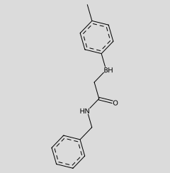 Cc1ccc(BCC(=O)NCc2ccccc2)cc1